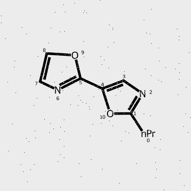 CCCc1ncc(-c2ncco2)o1